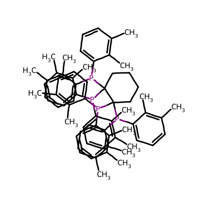 Cc1cccc(P(c2cccc(C)c2C)C2(P(c3cccc(C)c3C)c3cccc(C)c3C)CCCCC2(P(c2cccc(C)c2C)c2cccc(C)c2C)P(c2cccc(C)c2C)c2cccc(C)c2C)c1C